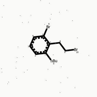 CCCCc1cccc(Br)c1CCBr